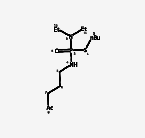 CCCCSP(=O)(NCCCC(C)=O)N(CC)CC